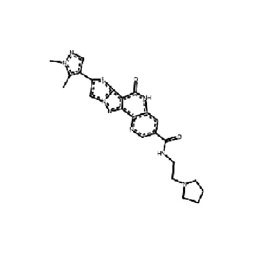 Cc1c(-c2cn3nc4c5ncc(C(=O)NCCN6CCCC6)cc5[nH]c(=O)c4c3s2)cnn1C